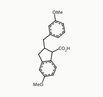 COc1cccc(CC2Cc3cc(OC)ccc3C2C(=O)O)c1